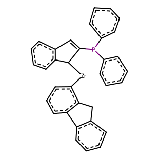 C1=C(P(c2ccccc2)c2ccccc2)[CH]([Zr][c]2cccc3c2Cc2ccccc2-3)c2ccccc21